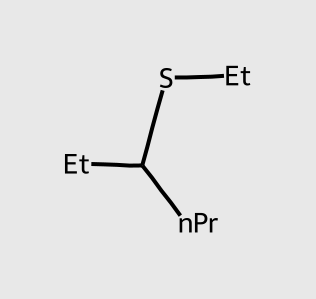 [CH2]CC(CCC)SCC